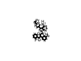 CC(C)Oc1ncc(-c2nn(C(C)c3oc4cccc(F)c4c(=O)c3-c3cccc(F)c3)c3ncnc(N)c23)cn1